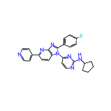 Fc1ccc(-c2nc3nc(-c4ccncc4)ccc3n2-c2ccnc(NC3CCCC3)n2)cc1